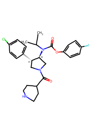 CC(C)N(C(=O)Oc1ccc(F)cc1)[C@H]1CN(C(=O)C2CCNCC2)C[C@@H]1c1ccc(Cl)cc1